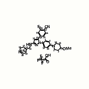 COC1CCN(c2ccc(-n3nc(NCC45CCN(CC4)CC5)cc3-c3ccc(C#N)c(F)c3)cc2)CC1.O=C(O)C(F)(F)F